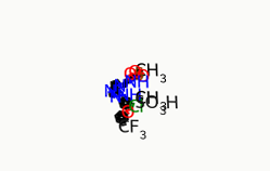 CS(=O)(=O)CC(=O)NCCn1ccc2ncnc(Nc3ccc(Oc4cccc(C(F)(F)F)c4)c(Cl)c3)c21.CS(=O)(=O)O